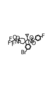 O=C(N=S1(=O)CCC2(CC1)c1cc(Br)ccc1N(S(=O)(=O)c1ccc(F)cc1)C2C1CC1)C(F)(F)F